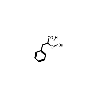 CCCCOC(Cc1ccccc1)C(=O)O